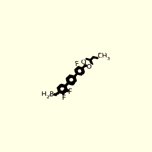 BCc1ccc(-c2ccc(-c3ccc(C4OCC(CCC)CO4)c(F)c3)cc2)c(F)c1F